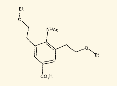 CCOCCc1cc(C(=O)O)cc(CCOCC)c1NC(C)=O